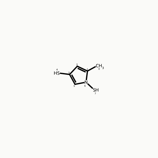 Cc1cc(S)cn1S